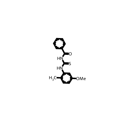 COc1ccc(C)c(NC(=S)NC(=O)c2ccccc2)c1